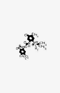 Cc1cc([N+](=O)[O-])c(NOC(=O)Nc2cc(Cl)c(C)cc2[N+](=O)OC(C)(C)C)cc1Cl